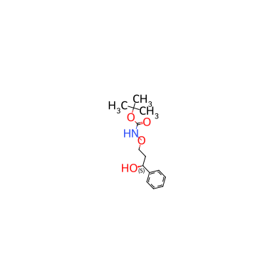 CC(C)(C)OC(=O)NOCC[C@H](O)c1ccccc1